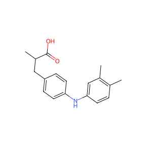 Cc1ccc(Nc2ccc(CC(C)C(=O)O)cc2)cc1C